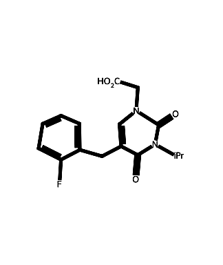 CC(C)n1c(=O)c(Cc2ccccc2F)cn(CC(=O)O)c1=O